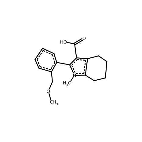 COCc1ccccc1-c1c(C(=O)O)c2c(n1C)CCCC2